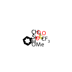 COc1ccccc1[SiH](C)OS(=O)(=O)C(F)(F)F